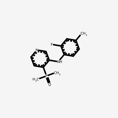 Cc1ccc(Nc2cnccc2P(C)(C)=O)c(F)c1